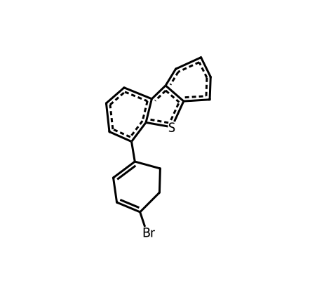 BrC1=CC=C(c2cccc3c2sc2ccccc23)CC1